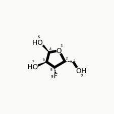 OC[C@H]1O[C@H](O)[C@H](O)[C@H]1F